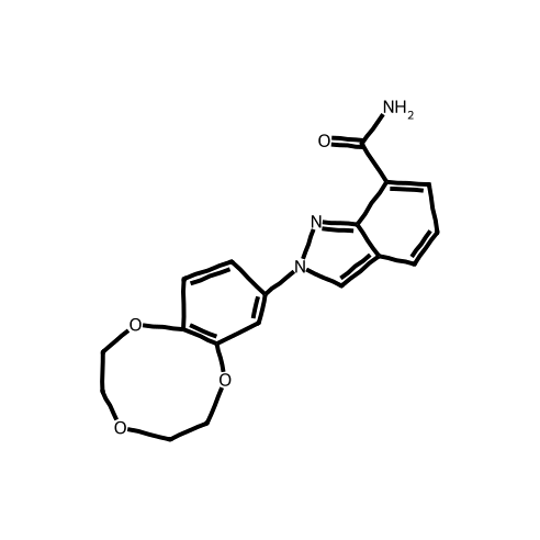 NC(=O)c1cccc2cn(-c3ccc4c(c3)OCCOCCO4)nc12